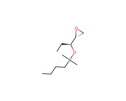 CCCC[Si](C)(C)O[C@@H](CC)[C@H]1CO1